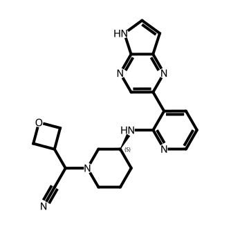 N#CC(C1COC1)N1CCC[C@H](Nc2ncccc2-c2cnc3[nH]ccc3n2)C1